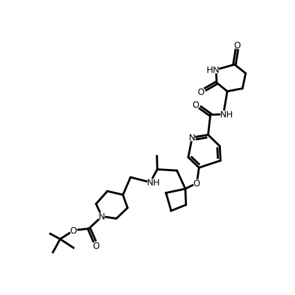 CC(CC1(Oc2ccc(C(=O)NC3CCC(=O)NC3=O)nc2)CCC1)NCC1CCN(C(=O)OC(C)(C)C)CC1